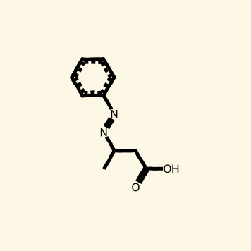 CC(CC(=O)O)/N=N/c1ccccc1